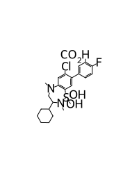 CN1CC(C2CCCCC2)N(C)S(O)(O)c2cc(-c3ccc(F)c(C(=O)O)c3)c(Cl)cc21